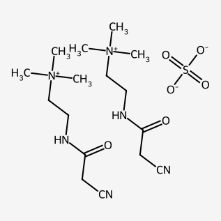 C[N+](C)(C)CCNC(=O)CC#N.C[N+](C)(C)CCNC(=O)CC#N.O=S(=O)([O-])[O-]